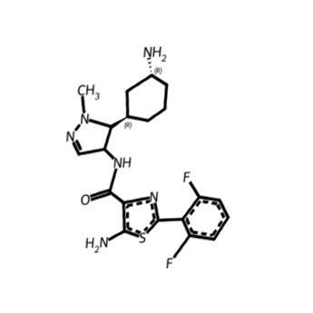 CN1N=CC(NC(=O)c2nc(-c3c(F)cccc3F)sc2N)C1[C@@H]1CCC[C@@H](N)C1